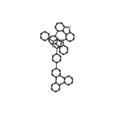 c1ccc(-c2nc(-c3ccc(-c4ccc5c6ccccc6c6ccccc6c5c4)cc3)nc(-c3cccc4oc5cccc(-c6cccc7c6oc6ccccc67)c5c34)n2)cc1